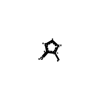 Cn1ncsc1=O